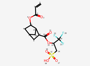 C=CC(=O)OC1CC2CC(C(=O)OC(CS(=O)(=O)O)C(F)(F)F)C1C2